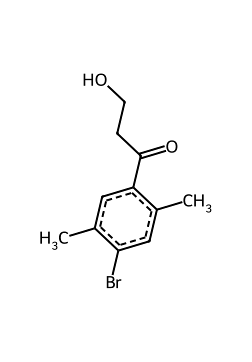 Cc1cc(C(=O)CCO)c(C)cc1Br